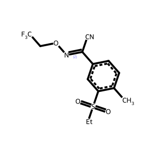 CCS(=O)(=O)c1cc(/C(C#N)=N/OCC(F)(F)F)ccc1C